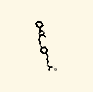 CCOC(C)OCCCc1ccc(OCCc2nc(-c3ccccc3)oc2C)cc1